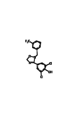 Oc1c(Cl)cc(C2=NCON2Cc2cccc(C(F)(F)F)c2)cc1Cl